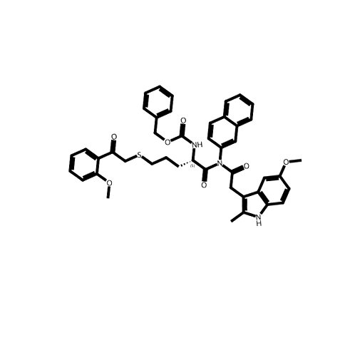 COc1ccc2[nH]c(C)c(CC(=O)N(C(=O)[C@H](CCCSCC(=O)c3ccccc3OC)NC(=O)OCc3ccccc3)c3ccc4ccccc4c3)c2c1